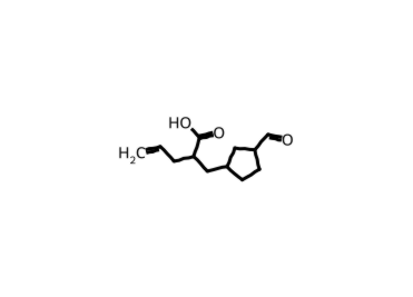 C=CCC(CC1CCC(C=O)C1)C(=O)O